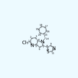 Clc1ccc2c(cc(-c3cncs3)n2Cc2ccccc2)n1